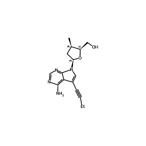 CCC#Cc1cn([C@H]2C[C@@H](C)[C@@H](CO)O2)c2ncnc(N)c12